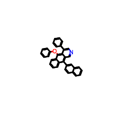 c1ccc(Oc2c3ccccc3c(-c3ccc4ccccc4c3)c3cncc(-c4ccccc4)c23)cc1